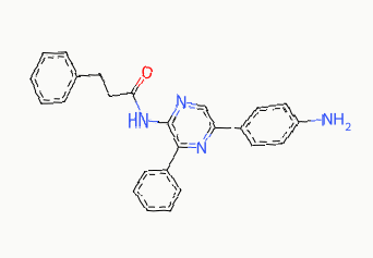 Nc1ccc(-c2cnc(NC(=O)CCc3ccccc3)c(-c3ccccc3)n2)cc1